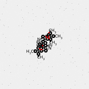 Cc1ccc([Si](c2ccc(C)cc2)(c2ccc(C)cc2)c2ccc(-c3cccc(C#N)c3N(c3cc(C(C)C)c4ccc5c(N(c6c(C#N)cccc6-c6ccc([Si](c7ccc(C)cc7)(c7ccc(C)cc7)c7ccc(C)cc7)cc6)c6cccc7c6oc6ccccc67)cc(C(C)C)c6ccc3c4c65)c3cccc4c3oc3ccccc34)cc2)cc1